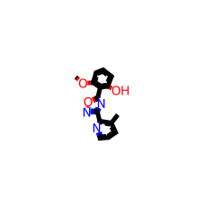 COc1cccc(O)c1-c1nc(-c2ncccc2C)no1